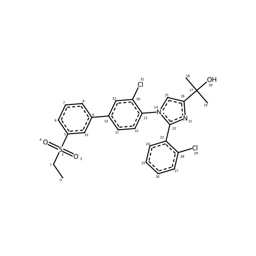 CCS(=O)(=O)c1cccc(-c2ccc(-n3cc(C(C)(C)O)nc3-c3ccccc3Cl)c(Cl)c2)c1